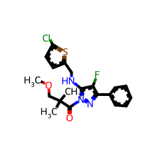 COCC(C)(C)C(=O)n1nc(-c2ccccc2)c(F)c1NCc1ccc(Cl)s1